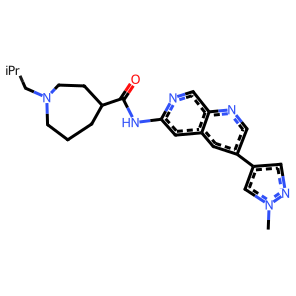 CC(C)CN1CCCC(C(=O)Nc2cc3cc(-c4cnn(C)c4)cnc3cn2)CC1